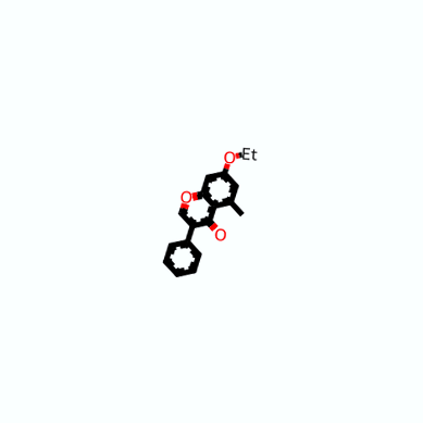 CCOc1cc(C)c2c(=O)c(-c3ccccc3)coc2c1